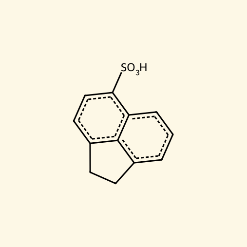 O=S(=O)(O)c1ccc2c3c(cccc13)CC2